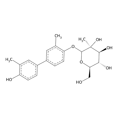 Cc1cc(-c2ccc(OC3O[C@H](CO)[C@@H](O)[C@H](O)[C@]3(C)O)c(C)c2)ccc1O